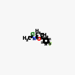 C=C(Cl)/N=C(\C)OC(=C)c1ccc(F)cc1